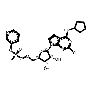 CP(=O)(OOC[C@H]1O[C@@H](n2ccc3c(NC4CCCC4)nc(Cl)nc32)[C@H](O)[C@@H]1O)Oc1cccnc1